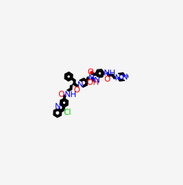 CN1CCN(CCC(=O)Nc2ccc3c(=O)n(CC4(O)CCN(C(=O)[C@@H](CCCNC(=O)c5ccc6c(Cl)c7c(nc6c5)CCCC7)Cc5ccccc5)CC4)cnc3c2)CC1